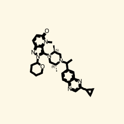 CC(c1ccc2ncc(C3CC3)nc2c1)N1C[C@H](C)N(c2c3c(ccc(=O)n3C)nn2C2CCCCO2)C[C@H]1C